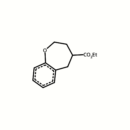 CCOC(=O)C1CCOc2ccccc2C1